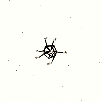 CCC[C]12[CH]3[CH]4[C]5(CCC)[CH]1[Fe]34251678[CH]2[C]1(CCC)[C]6(CCC)[C]7(CCC)[C]28CCC